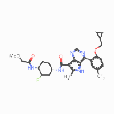 COCC(=O)N[C@@H]1CC[C@H](NC(=O)c2c(C)[nH]c3c(-c4cc(C(F)(F)F)ccc4OCC4CC4)ncnc23)C[C@H]1F